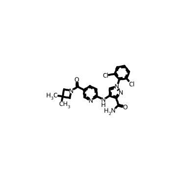 CC1(C)CN(C(=O)c2ccc(Nc3cn(-c4c(Cl)cccc4Cl)nc3C(N)=O)nc2)C1